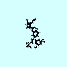 COc1cc(OC)cc(N(CCNC(C)C)c2ccc3ncc(-c4cnn(C)c4CO)nc3c2)c1